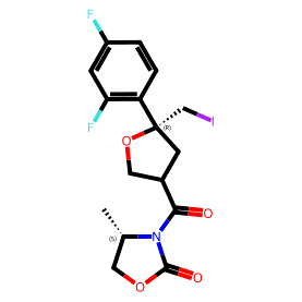 C[C@H]1COC(=O)N1C(=O)C1CO[C@@](CI)(c2ccc(F)cc2F)C1